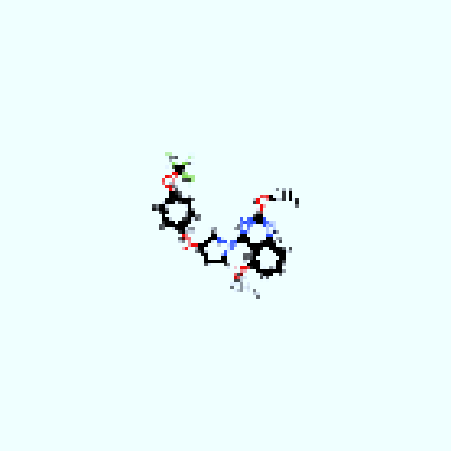 COc1nc(N2CCC(Oc3ccc(OC(F)(F)F)cc3)C2)c2c(OC)cccc2n1